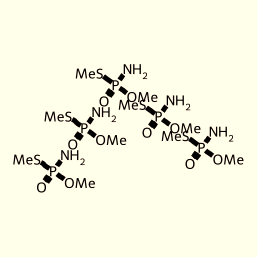 COP(N)(=O)SC.COP(N)(=O)SC.COP(N)(=O)SC.COP(N)(=O)SC.COP(N)(=O)SC